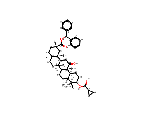 C[C@]1(C(=O)OC(c2ccccc2)c2ccccc2)CC[C@]2(C)CC[C@]3(C)C(=CC(=O)[C@@H]4[C@@]5(C)CC[C@H](OC(=O)C6CC6)[C@@](C)(C(=O)O)[C@@H]5CC[C@]43C)[C@@H]2C1